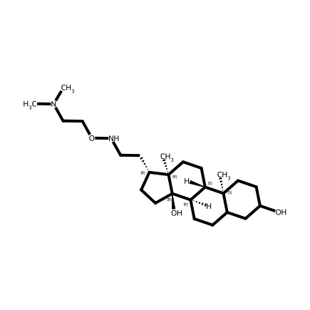 CN(C)CCONCC[C@H]1CC[C@@]2(O)[C@@H]3CCC4CC(O)CC[C@]4(C)[C@H]3CC[C@]12C